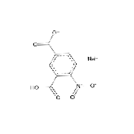 O=C(O)c1ccc([N+](=O)[O-])c(C(=O)O)c1.[NaH]